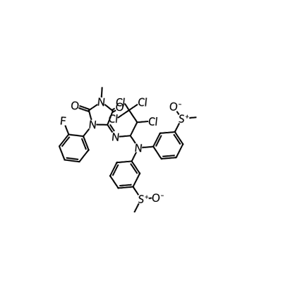 CN1C(=O)C(=NC(C(Cl)C(Cl)(Cl)Cl)N(c2cccc([S+](C)[O-])c2)c2cccc([S+](C)[O-])c2)N(c2ccccc2F)C1=O